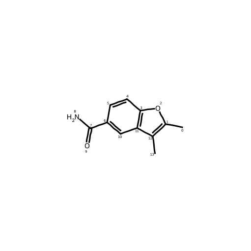 Cc1oc2ccc(C(N)=O)cc2c1C